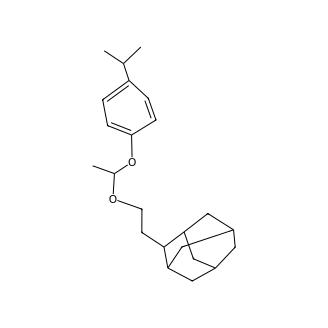 CC(OCCC1C2CC3CC(C2)CC1C3)Oc1ccc(C(C)C)cc1